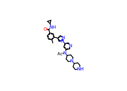 CC(=O)N(c1cncc(-n2cc(-c3cc(C(=O)NC4CC4)ccc3C)cn2)c1)C1CCN(C2CCNCC2)CC1